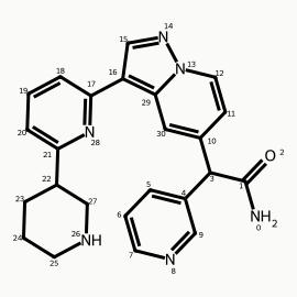 NC(=O)C(c1cccnc1)c1ccn2ncc(-c3cccc(C4CCCNC4)n3)c2c1